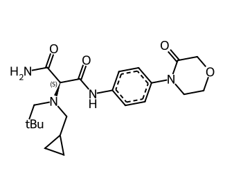 CC(C)(C)CN(CC1CC1)[C@@H](C(N)=O)C(=O)Nc1ccc(N2CCOCC2=O)cc1